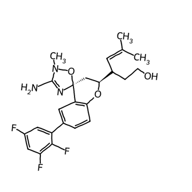 CC(C)=CC(CCO)[C@@H]1C[C@@]2(N=C(N)N(C)O2)c2cc(-c3cc(F)cc(F)c3F)ccc2O1